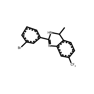 CC1NC(c2cccc(Br)c2)=Nc2cc(C(F)(F)F)ccc21